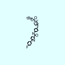 C[C@H]1CN(Cc2ccc(N(C)C(=O)c3ccc(-c4ccc(F)cc4)nc3)cc2)CCN1C(=O)OC(C)(C)C